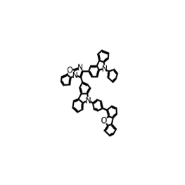 c1ccc(-n2c3ccccc3c3cc(-c4nc5oc6ccccc6n5c4-c4ccc5c(c4)c4ccccc4n5-c4ccc(-c5cccc6c5oc5ccccc56)cc4)ccc32)cc1